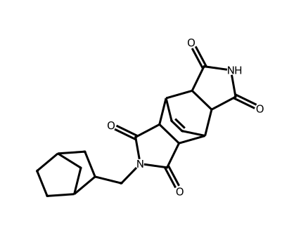 O=C1NC(=O)C2C3C=CC(C12)C1C(=O)N(CC2CC4CCC2C4)C(=O)C31